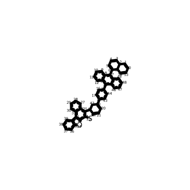 C1=CC2C=CC=C(c3c4ccccc4c(-c4ccc(C5=CC=C6Sc7c(c8ccccc8c8c7oc7ccccc78)C6C5)cc4)c4ccccc34)C2C=C1